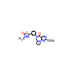 CSc1ncc2c(n1)N1CCCC1CN(c1cccc(-c3nn(C)c(=O)s3)c1)C2=O